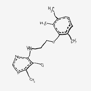 Cc1ccc(C)c(OCCNc2ncnc(C)c2Cl)c1C